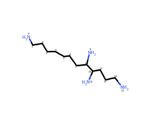 NCCCCCCCC(N)C(N)CCCN